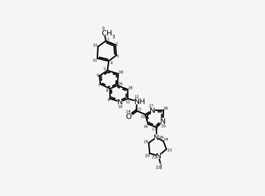 CC1=C=CC(c2ccc3cnc(NC(=O)c4cc(N5CCN(I)CC5)ncn4)cc3c2)=CC1